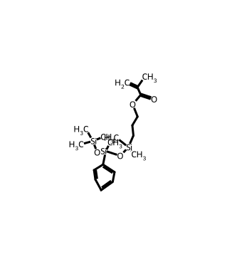 C=C(C)C(=O)OCCC[Si](C)(C)O[Si](C)(O[Si](C)(C)C)c1ccccc1